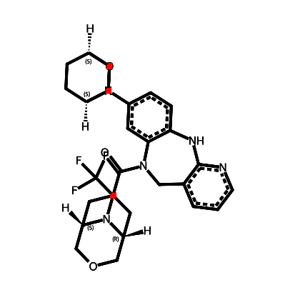 O=C(C1C[C@H]2COC[C@@H](C1)N2CC(F)(F)F)N1Cc2cccnc2Nc2ccc(N3C[C@@H]4CC[C@H]3CO4)cc21